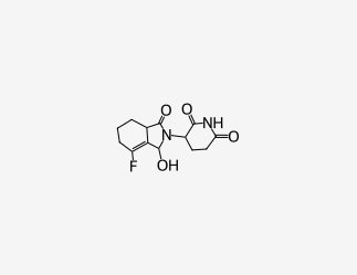 O=C1CCC(N2C(=O)C3CCCC(F)=C3C2O)C(=O)N1